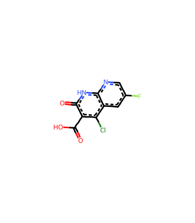 O=C(O)c1c(Cl)c2cc(F)cnc2[nH]c1=O